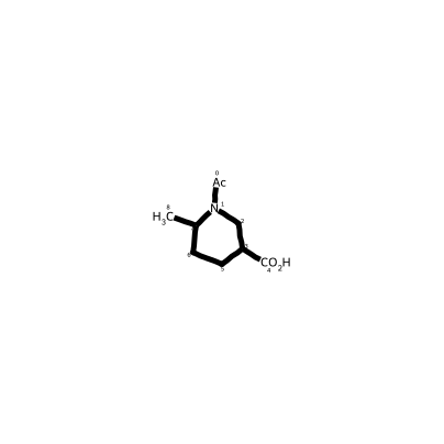 CC(=O)N1CC(C(=O)O)CCC1C